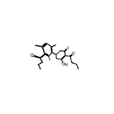 CCCC(=O)C1=C(O)CC(c2c(C)cc(C)c(C(=O)CCC)c2C)CC1=O